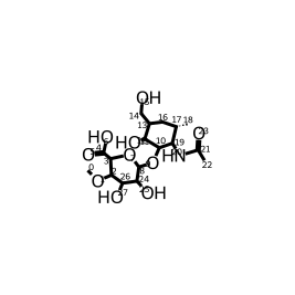 COC1C(C(=O)O)OC(OC2C(O)C(CO)C[C@H](C)C2NC(C)=O)C(O)C1O